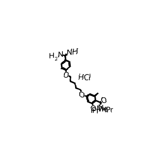 COc1cc(OCCCCCOc2ccc(C(=N)N)cc2)cc(C)c1C(=O)N(C(C)C)C(C)C.Cl